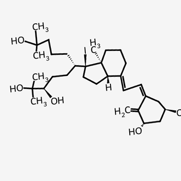 C=C1/C(=C\C=C2/CCC[C@@]3(C)[C@H]2CC[C@]3(I)[C@@H](CCCC(C)(C)O)CC[C@@H](O)C(C)(C)O)C[C@@H](O)C[C@@H]1O